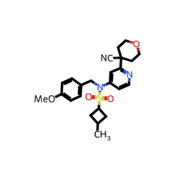 COc1ccc(CN(c2ccnc(C3(C#N)CCOCC3)c2)S(=O)(=O)C2CC(C)C2)cc1